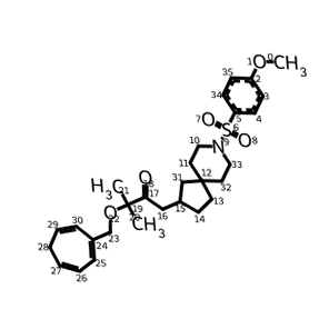 COc1ccc(S(=O)(=O)N2CCC3(CCC(CC(=O)C(C)(C)OCC4=CC=CCC=C4)C3)CC2)cc1